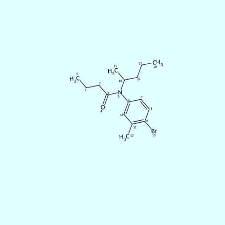 CCCC(=O)N(c1ccc(Br)c(C)c1)C(C)CCC